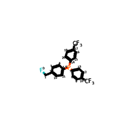 FCc1ccc(P(c2ccc(C(F)(F)F)cc2)c2ccc(C(F)(F)F)cc2)cc1